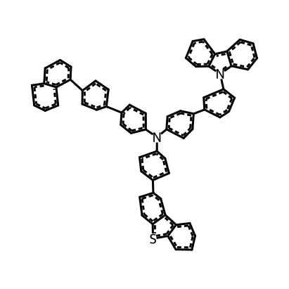 c1cc(-c2ccc(N(c3ccc(-c4ccc(-c5cccc6ccccc56)cc4)cc3)c3ccc(-c4ccc5sc6ccccc6c5c4)cc3)cc2)cc(-n2c3ccccc3c3ccccc32)c1